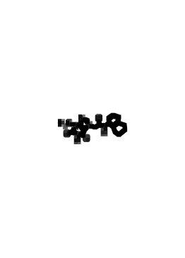 Cn1c(=O)[nH]c(=O)c2c1ncn2CC(=O)Nc1cccc2c1CCCC2